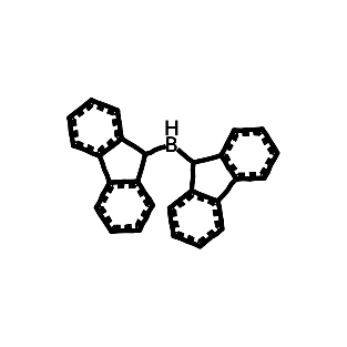 B(C1c2ccccc2-c2ccccc21)C1c2ccccc2-c2ccccc21